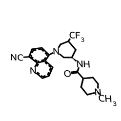 CN1CCC(C(=O)N[C@@H]2CC(C(F)(F)F)CN(c3ccc(C#N)c4ncccc34)C2)CC1